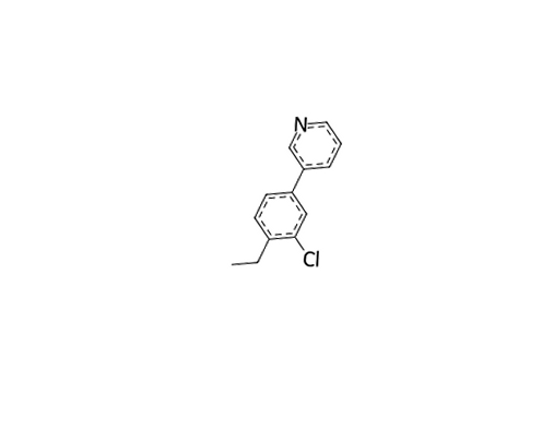 CCc1ccc(-c2cccnc2)cc1Cl